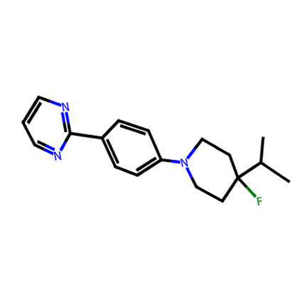 CC(C)C1(F)CCN(c2ccc(-c3ncccn3)cc2)CC1